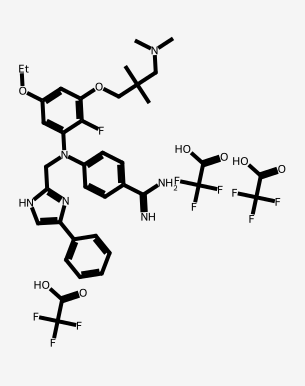 CCOc1cc(OCC(C)(C)CN(C)C)c(F)c(N(Cc2nc(-c3ccccc3)c[nH]2)c2ccc(C(=N)N)cc2)c1.O=C(O)C(F)(F)F.O=C(O)C(F)(F)F.O=C(O)C(F)(F)F